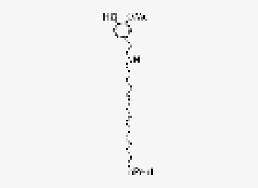 CCCCCC=CCC=CCC=CCC=CCCCCNCCc1ccc(O)c(OC)c1